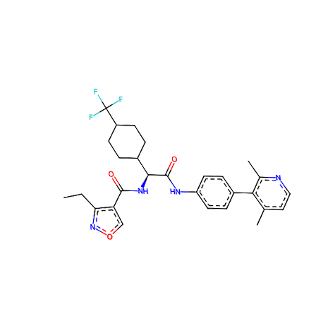 CCc1nocc1C(=O)N[C@H](C(=O)Nc1ccc(-c2c(C)ccnc2C)cc1)C1CCC(C(F)(F)F)CC1